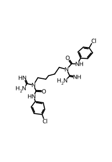 N=C(N)N(CCCCCN(C(=N)N)C(=O)Nc1ccc(Cl)cc1)C(=O)Nc1ccc(Cl)cc1